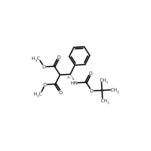 COC(=O)C(C(=O)OC)[C@@H](NC(=O)OC(C)(C)C)c1ccccc1